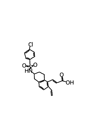 C=Cc1ccc2c(c1/C=C/C(=O)O)CCC(NS(=O)(=O)c1ccc(Cl)cc1)C2